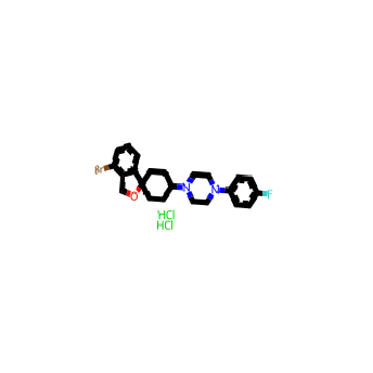 Cl.Cl.Fc1ccc(N2CCN(C3CCC4(CC3)OCc3c(Br)cccc34)CC2)cc1